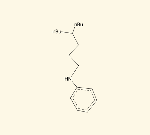 CCCCC(CCCC)CCCNc1ccccc1